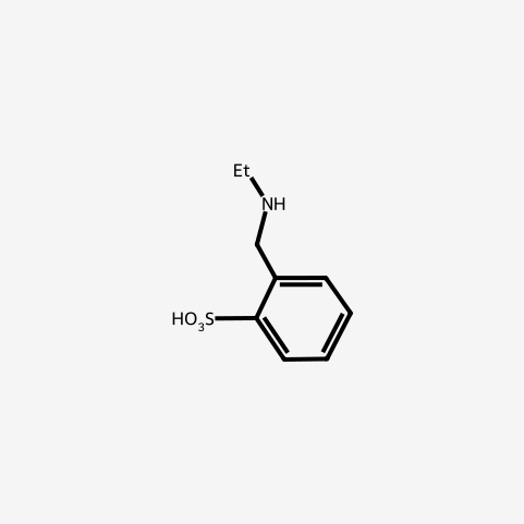 CCNCc1ccccc1S(=O)(=O)O